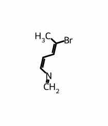 C=N/C=C\C=C(/C)Br